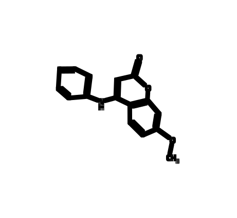 COc1ccc2c(Nc3ccccc3)cc(=O)oc2c1